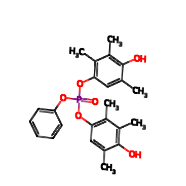 Cc1cc(OP(=O)(Oc2ccccc2)Oc2cc(C)c(O)c(C)c2C)c(C)c(C)c1O